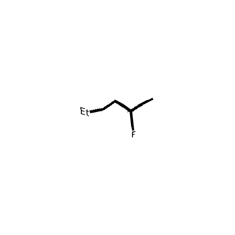 CCC[C](C)F